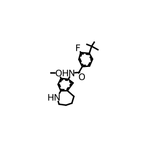 COc1cc2c(cc1NC(=O)c1ccc(C(C)(C)C)c(F)c1)CCCCN2